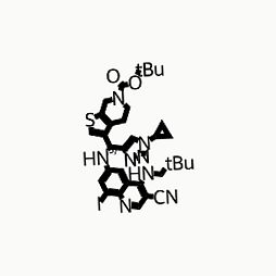 CC(C)(C)CNc1c(C#N)cnc2c(I)cc(N[C@H](c3cn(C4CC4)nn3)c3csc4c3CCN(C(=O)OC(C)(C)C)C4)cc12